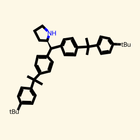 CC(C)(C)c1ccc(C(C)(C)c2ccc(C(c3ccc(C(C)(C)c4ccc(C(C)(C)C)cc4)cc3)[C@H]3CCCN3)cc2)cc1